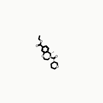 CCOC(=O)c1ccc2c(c1)OCCN(C(=O)[C@H]1CCCOC1)[C@H]2C